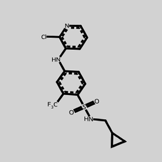 O=S(=O)(NCC1CC1)c1ccc(Nc2cccnc2Cl)cc1C(F)(F)F